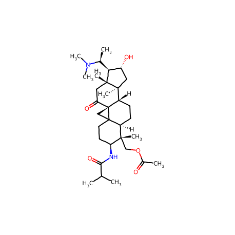 CC(=O)OC[C@]1(C)[C@@H](NC(=O)C(C)C)CCC23C[C@]24C(=O)C[C@]2(C)[C@@H]([C@H](C)N(C)C)[C@H](O)C[C@@]2(C)[C@@H]4CC[C@H]31